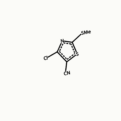 CSc1nc(Cl)c(C#N)s1